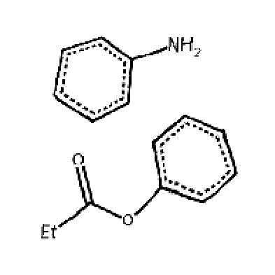 CCC(=O)Oc1ccccc1.Nc1ccccc1